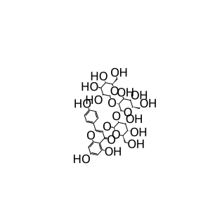 O=c1c(O[C@@H]2O[C@H](CO)[C@@H](O)[C@H](O)[C@H]2O[C@@H]2O[C@H](CO)[C@@H](O)[C@H](O)[C@H]2O[C@@H]2O[C@H](CO)[C@@H](O)[C@H](O)[C@H]2O)c(-c2ccc(O)cc2)oc2cc(O)cc(O)c12